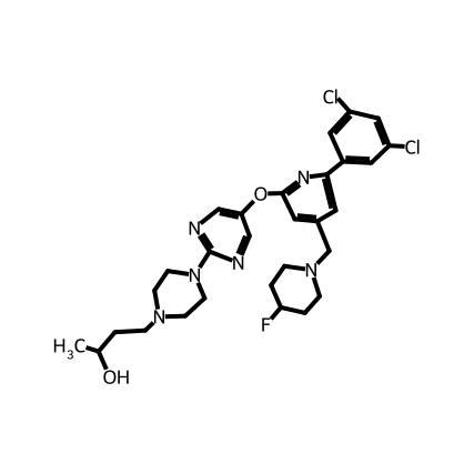 CC(O)CCN1CCN(c2ncc(Oc3cc(CN4CCC(F)CC4)cc(-c4cc(Cl)cc(Cl)c4)n3)cn2)CC1